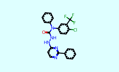 O=C(NNc1ccnc(-c2ccccc2)n1)N(c1ccccc1)c1ccc(Cl)c(C(F)(F)F)c1